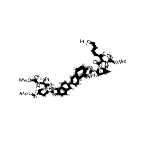 C=C(/C=C\C=C/C)[C@@H](NC(=O)OC)C(=O)N1[C@@H]2CC2C[C@H]1c1nc2ccc3cc(-c4ccc5c(ccc6nc([C@@H]7C[C@H](COC)CN7C(=O)[C@@H](NC(=O)OC)C(C)C)[nH]c65)c4)ccc3c2[nH]1